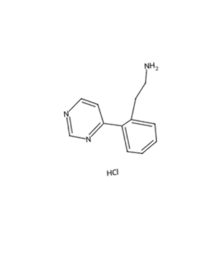 Cl.NCCc1ccccc1-c1ccncn1